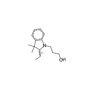 C/C=C1/N(CCCO)c2ccccc2C1(C)C